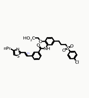 CCCc1csc(/C=C/c2cccc(C(=O)Nc3cc(CCCS(=O)(=O)c4ccc(Cl)cc4)ccc3OCC(=O)O)c2)n1